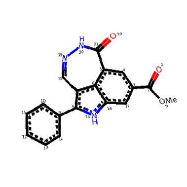 COC(=O)c1cc2c3c(c(-c4ccccc4)[nH]c3c1)C=NNC2=O